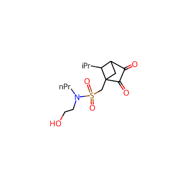 CCCN(CCO)S(=O)(=O)CC12CC(C(=O)C1=O)C2C(C)C